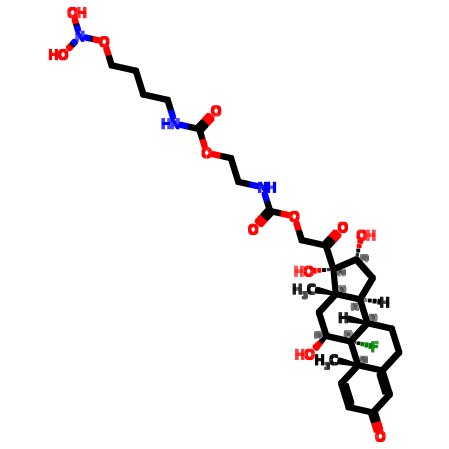 C[C@]12C=CC(=O)C=C1CC[C@H]1[C@@H]3C[C@@H](O)[C@](O)(C(=O)COC(=O)NCCOC(=O)NCCCCON(O)O)[C@@]3(C)C[C@H](O)[C@@]12F